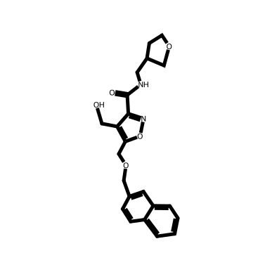 O=C(NCC1CCOC1)c1noc(COCc2ccc3ccccc3c2)c1CO